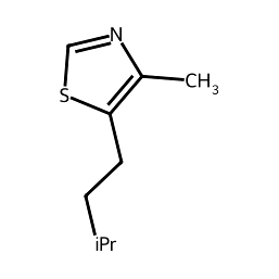 Cc1ncsc1CCC(C)C